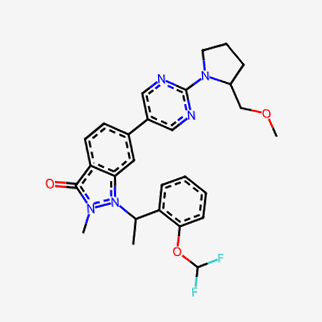 COCC1CCCN1c1ncc(-c2ccc3c(=O)n(C)n(C(C)c4ccccc4OC(F)F)c3c2)cn1